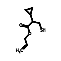 C=CCOC(=O)C(CS)C1CC1